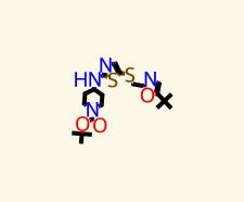 CC(C)(C)OC(=O)N1CCC(Nc2ncc(SCc3ncc(C(C)(C)C)o3)s2)CC1